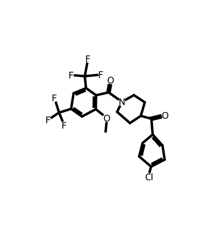 COc1cc(C(F)(F)F)cc(C(F)(F)F)c1C(=O)N1CCC(C(=O)c2ccc(Cl)cc2)CC1